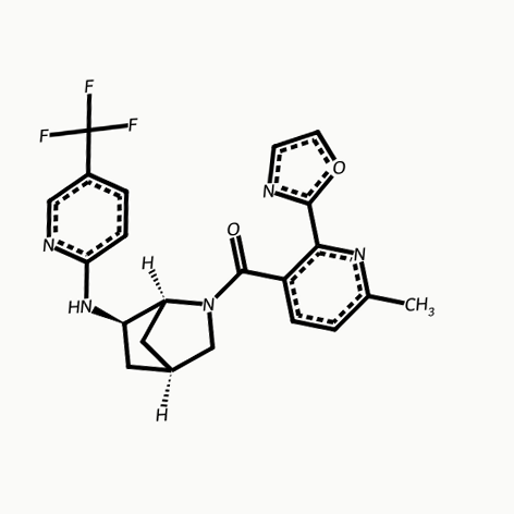 Cc1ccc(C(=O)N2C[C@H]3C[C@@H](Nc4ccc(C(F)(F)F)cn4)[C@@H]2C3)c(-c2ncco2)n1